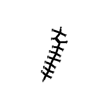 FC(=C(F)C(F)(F)C(F)(F)C(F)(F)C(F)(F)C(F)(F)C(F)(F)F)C(F)(F)F